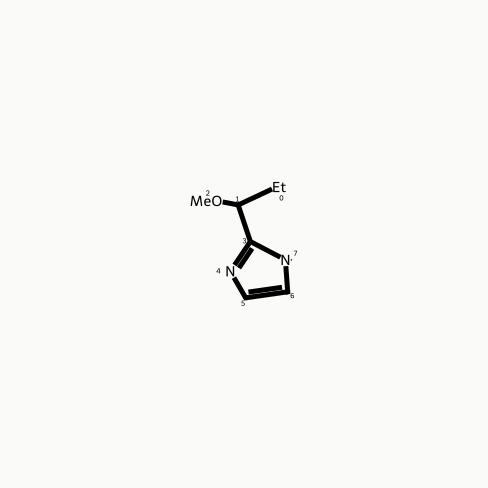 CCC(OC)C1=NC=C[N]1